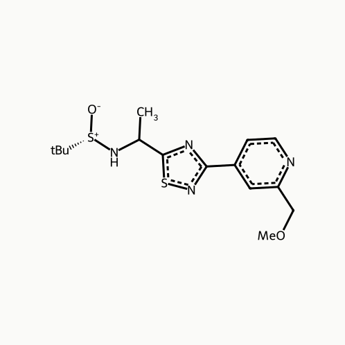 COCc1cc(-c2nsc(C(C)N[S@@+]([O-])C(C)(C)C)n2)ccn1